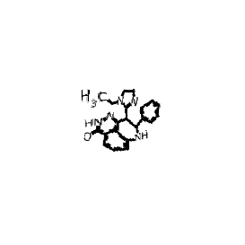 CCN1CCN=C1C1c2n[nH]c(=O)c3cccc(c23)NC1c1ccccc1